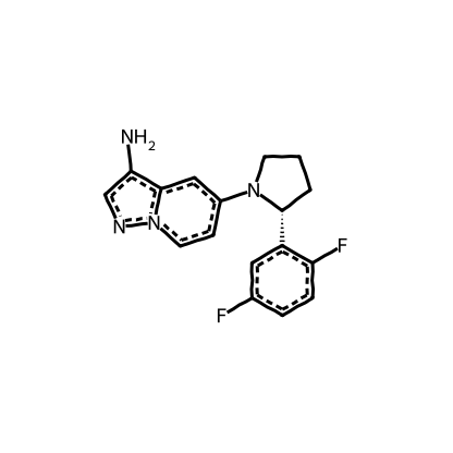 Nc1cnn2ccc(N3CCC[C@@H]3c3cc(F)ccc3F)cc12